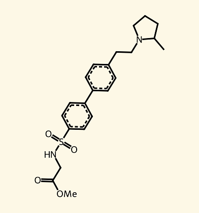 COC(=O)CNS(=O)(=O)c1ccc(-c2ccc(CCN3CCCC3C)cc2)cc1